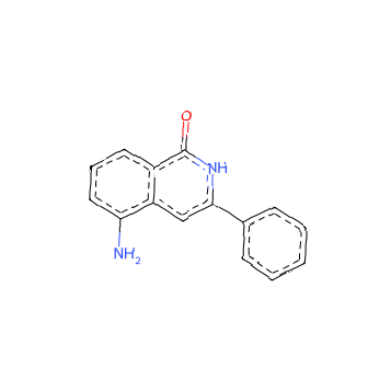 Nc1cccc2c(=O)[nH]c(-c3ccccc3)cc12